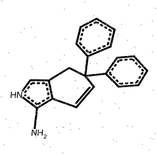 Nc1[nH]cc2c1C=CC(c1ccccc1)(c1ccccc1)C2